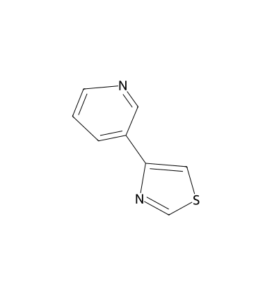 c1cncc(-c2cscn2)c1